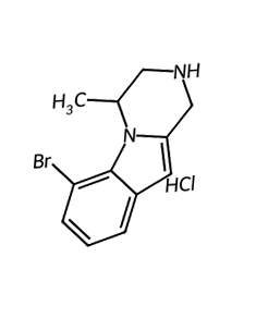 CC1CNCc2cc3cccc(Br)c3n21.Cl